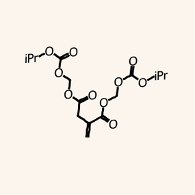 C=C(CC(=O)OCOC(=O)OC(C)C)C(=O)OCOC(=O)OC(C)C